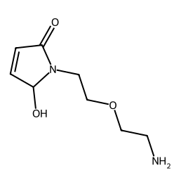 NCCOCCN1C(=O)C=CC1O